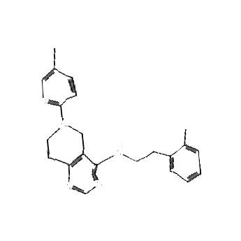 Cc1ccc(N2CCc3ncnc(NCCc4ccccc4C(F)(F)F)c3C2)nc1